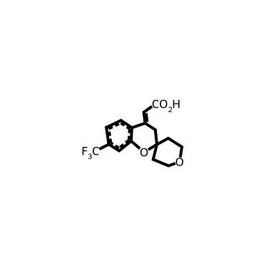 O=C(O)C=C1CC2(CCOCC2)Oc2cc(C(F)(F)F)ccc21